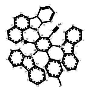 Cc1ccc(-c2c(-n3c4ccccc4c4ccccc43)c(C#N)c(N3c4c(ccc5ccccc45)C4C=CC=CC43)c(C#N)c2-n2c3ccccc3c3ccccc32)cc1